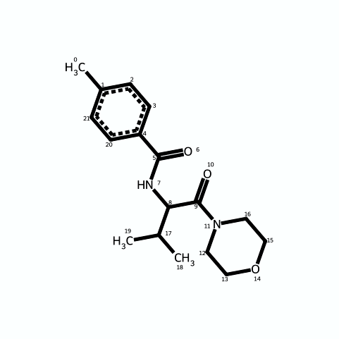 Cc1ccc(C(=O)NC(C(=O)N2CCOCC2)C(C)C)cc1